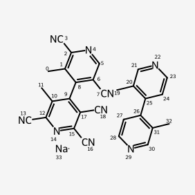 Cc1c(C#N)ncc(C#N)c1-c1c(C)c(C#N)nc(C#N)c1C#N.Cc1cnccc1-c1ccncc1C.[Na]